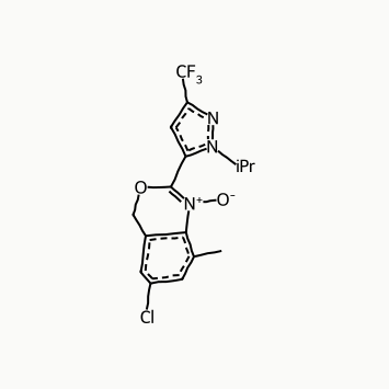 Cc1cc(Cl)cc2c1[N+]([O-])=C(c1cc(C(F)(F)F)nn1C(C)C)OC2